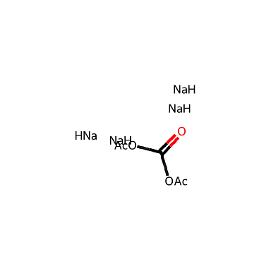 CC(=O)OC(=O)OC(C)=O.[NaH].[NaH].[NaH].[NaH]